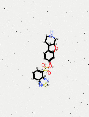 O=S(=O)(Oc1ccc2c(c1)OC1CNCCC21)c1cccc2nsnc12